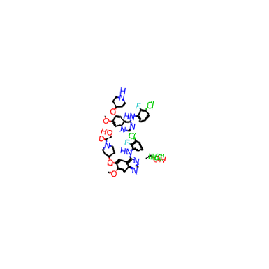 CCO.COc1cc2ncnc(Nc3cccc(Cl)c3F)c2cc1OC1CCN(C(=O)CO)CC1.COc1cc2ncnc(Nc3cccc(Cl)c3F)c2cc1OC1CCNCC1.Cl.Cl